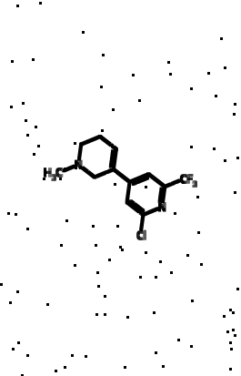 CN1CCC=C(c2cc(Cl)nc(C(F)(F)F)c2)C1